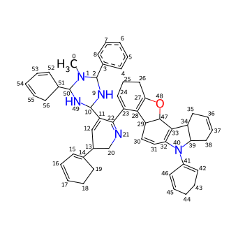 CN1C(c2ccccc2)NC(C2=CC(C3=CC=CCC3)CN=C2C2=CCCC3=C2C2C=CC4=C(C5CC=CCC5N4C4=CCCC=C4)C2O3)NC1C1C=CC=CC1